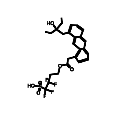 CCC(O)(CC)Cc1cccc2cc3cccc(CC(=O)OCCC(F)(F)C(F)(F)S(=O)(=O)O)c3cc12